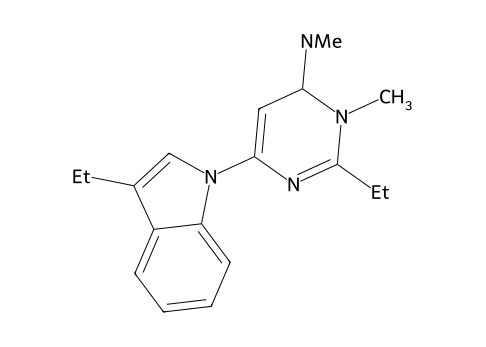 CCC1=NC(n2cc(CC)c3ccccc32)=CC(NC)N1C